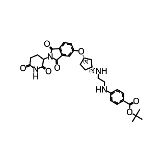 CC(C)(C)OC(=O)c1ccc(NCCN[C@@H]2CC[C@H](Oc3ccc4c(c3)C(=O)N(C3CCC(=O)NC3=O)C4=O)C2)cc1